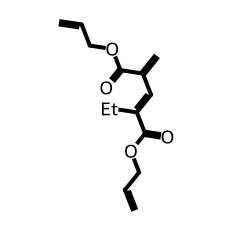 C=CCOC(=O)C(=C)/C=C(\CC)C(=O)OCC=C